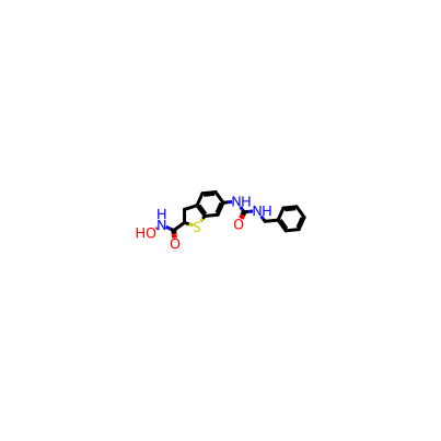 O=C(NCc1ccccc1)Nc1ccc2c(c1)SC(C(=O)NO)C2